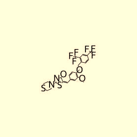 COc1cc(/C=C2/SC(N3CCSCC3)=NC2=O)ccc1OCc1ccc(C(F)(F)F)cc1C(F)(F)F